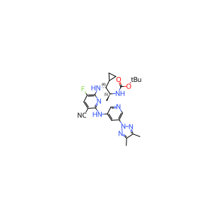 Cc1nn(-c2cncc(Nc3nc(N[C@H](C4CC4)[C@H](C)NC(=O)OC(C)(C)C)c(F)cc3C#N)c2)nc1C